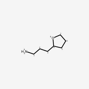 NCCCC1CCCO1